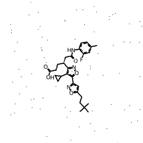 Cc1ccc(NC(=O)C[C@H](CCC(=O)O)c2noc(-c3cc(CCC(C)(C)C)on3)c2C2CC2)c(F)c1